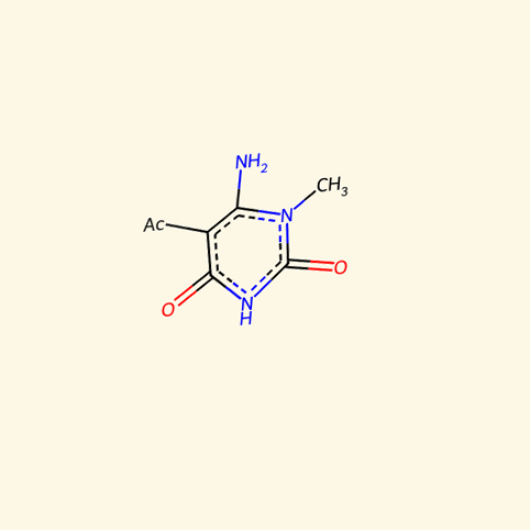 CC(=O)c1c(N)n(C)c(=O)[nH]c1=O